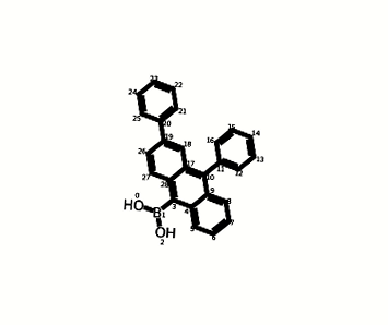 OB(O)c1c2ccccc2c(-c2ccccc2)c2cc(-c3ccccc3)ccc12